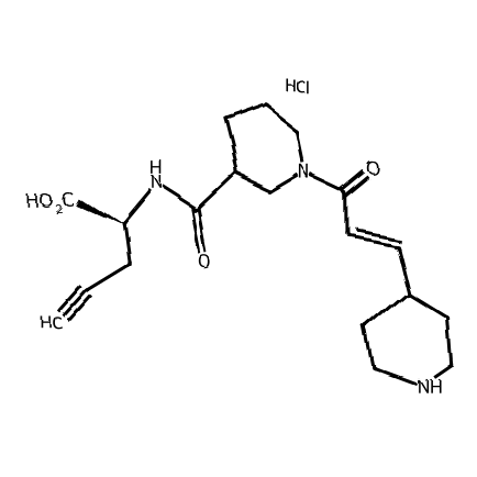 C#CC[C@H](NC(=O)C1CCCN(C(=O)/C=C/C2CCNCC2)C1)C(=O)O.Cl